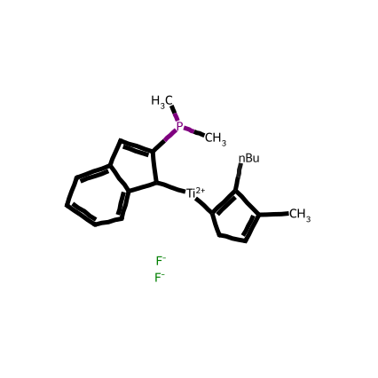 CCCCC1=[C]([Ti+2][CH]2C(P(C)C)=Cc3ccccc32)CC=C1C.[F-].[F-]